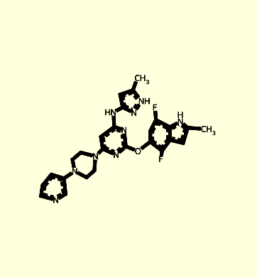 Cc1cc(Nc2cc(N3CCN(c4cccnc4)CC3)nc(Oc3cc(F)c4[nH]c(C)cc4c3F)n2)n[nH]1